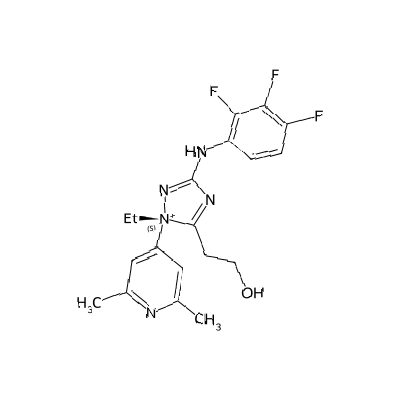 CC[N@@+]1(c2cc(C)nc(C)c2)N=C(Nc2ccc(F)c(F)c2F)N=C1CCO